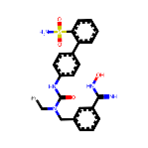 CC(C)CN(Cc1cccc(C(=N)NO)c1)C(=O)Nc1ccc(-c2ccccc2S(N)(=O)=O)cc1